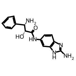 Nc1nc2ccc(NC(=O)[C@H](O)[C@@H](N)c3ccccc3)cc2[nH]1